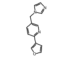 c1cn(Cc2ccc(-c3ccoc3)nc2)cn1